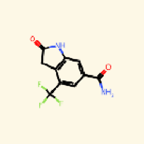 NC(=O)c1cc2c(c(C(F)(F)F)c1)CC(=O)N2